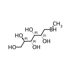 CBC[C@H](O)[C@@H](O)[C@H](O)[C@H](O)CO